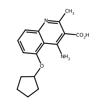 Cc1nc2cccc(OC3CCCC3)c2c(N)c1C(=O)O